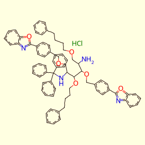 Cl.NC(COCCCCc1ccccc1)C(OCc1ccc(-c2nc3ccccc3o2)cc1)C(OCCCCc1ccccc1)C(COCc1ccc(-c2nc3ccccc3o2)cc1)NC(c1ccccc1)(c1ccccc1)c1ccccc1